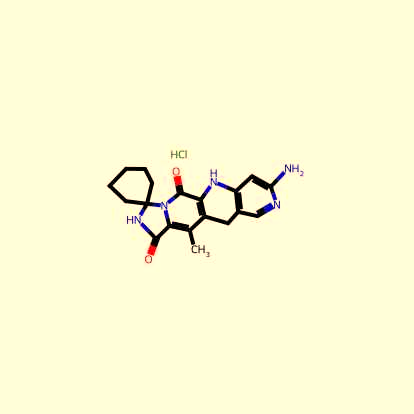 Cc1c2c(c(=O)n3c1C(=O)NC31CCCCC1)Nc1cc(N)ncc1C2.Cl